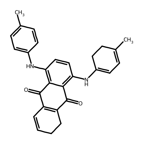 CC1=CC=C(Nc2ccc(Nc3ccc(C)cc3)c3c2C(=O)C2=C(C=CCC2)C3=O)CC1